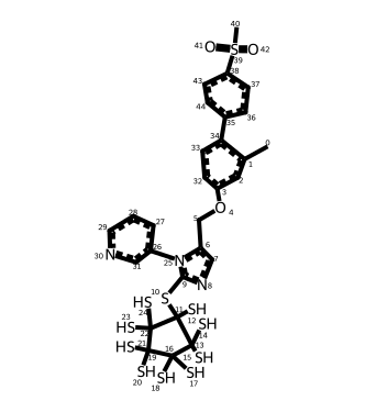 Cc1cc(OCc2cnc(SC3(S)C(S)(S)C(S)(S)C(S)(S)C3(S)S)n2-c2cccnc2)ccc1-c1ccc(S(C)(=O)=O)cc1